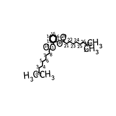 CC(C)CCCCCCC(=O)Oc1ccccc1OC(=O)CCCCCCC(C)C